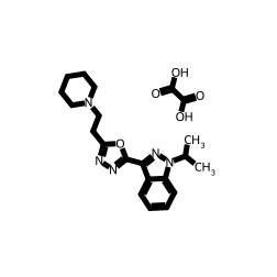 CC(C)n1nc(-c2nnc(CCN3CCCCC3)o2)c2ccccc21.O=C(O)C(=O)O